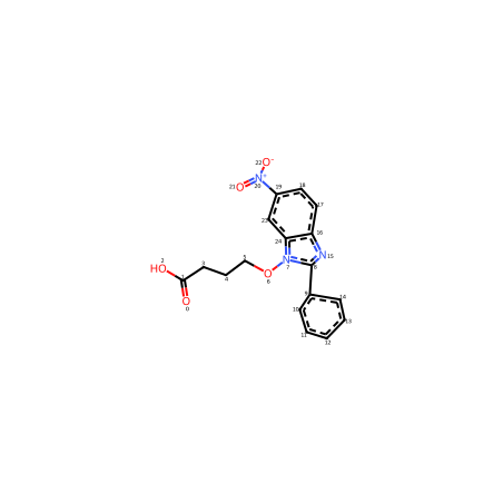 O=C(O)CCCOn1c(-c2ccccc2)nc2ccc([N+](=O)[O-])cc21